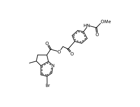 COC(=O)Nc1ccc(C(=O)COC(=O)C2CC(C)c3cc(Br)cnc32)cc1